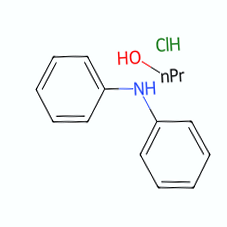 CCCO.Cl.c1ccc(Nc2ccccc2)cc1